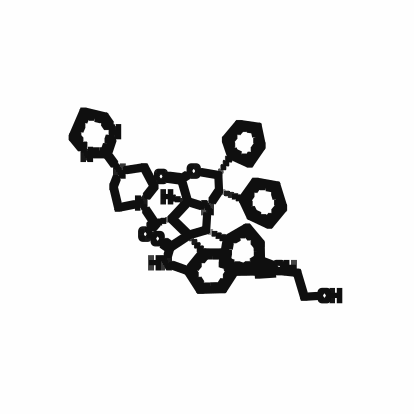 O=C1O[C@H](c2ccccc2)[C@H](c2ccccc2)N2[C@H]1[C@@H](C(=O)N1CCN(c3ncccn3)CC1)[C@]1(C(=O)Nc3ccc(C#CCCO)cc31)[C@H]2c1ccc(O)cc1